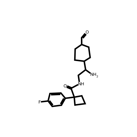 NC(CNC(=O)C1(c2ccc(F)cc2)CCC1)C1CCC(C=O)CC1